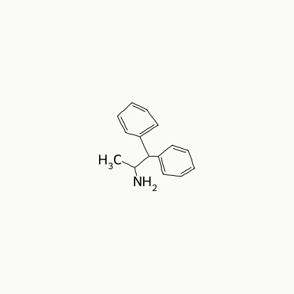 CC(N)C(c1ccccc1)c1ccccc1